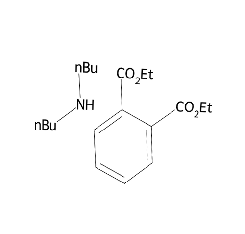 CCCCNCCCC.CCOC(=O)c1ccccc1C(=O)OCC